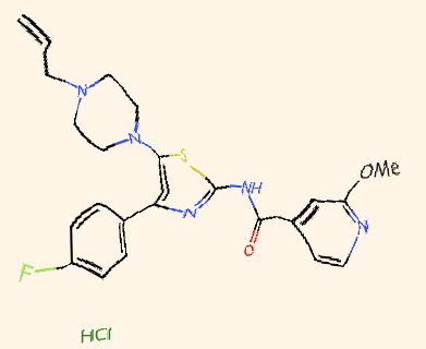 C=CCN1CCN(c2sc(NC(=O)c3ccnc(OC)c3)nc2-c2ccc(F)cc2)CC1.Cl